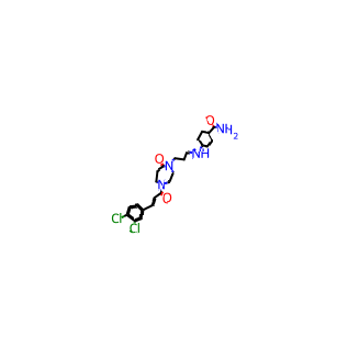 NC(=O)C1CCC(NCCCN2CCN(C(=O)C=Cc3ccc(Cl)c(Cl)c3)CCC2=O)CC1